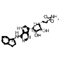 NS(=O)(=O)CC[C@H]1O[C@@H](c2c[nH]c3c(N[C@H]4CCc5ccccc54)ncnc23)[C@H](O)[C@@H]1O